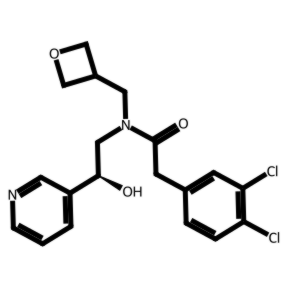 O=C(Cc1ccc(Cl)c(Cl)c1)N(CC1COC1)C[C@@H](O)c1cccnc1